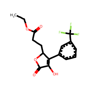 CCOC(=O)CCC1OC(=O)C(O)=C1c1cccc(C(F)(F)F)c1